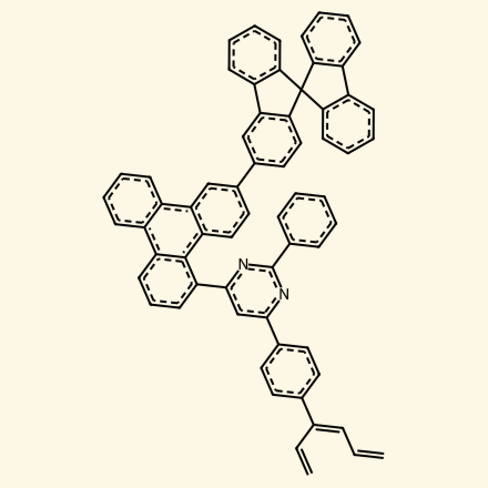 C=C/C=C(\C=C)c1ccc(-c2cc(-c3cccc4c5ccccc5c5cc(-c6ccc7c(c6)-c6ccccc6C76c7ccccc7-c7ccccc76)ccc5c34)nc(-c3ccccc3)n2)cc1